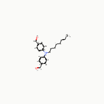 CCCCCCCCN(c1ccc(C=O)cc1)c1ccc(C=O)cc1